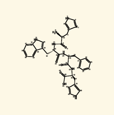 N[C@@H](Cc1c[nH]cn1)C(=O)N[C@@H](Cc1c[nH]c2ccccc12)C(=O)N[C@@H](Cc1ccccc1)C(=O)N[C@@H](Cc1c[nH]cn1)C(=O)O